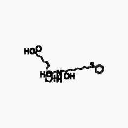 O=C(O)CCC/C=C\C[C@@H]1[C@@H](CNCC(O)CCCCCCSc2ccccc2)[C@@H]2CC[C@H]1O2